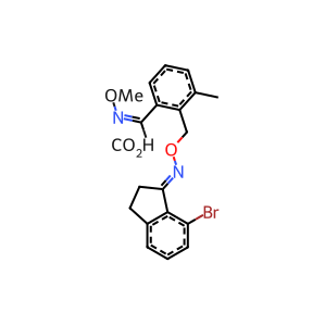 CO/N=C(/C(=O)O)c1cccc(C)c1CO/N=C1\CCc2cccc(Br)c21